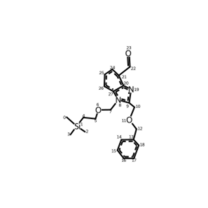 C[Si](C)(C)CCOCn1c(COCc2ccccc2)nc2c(C=O)cccc21